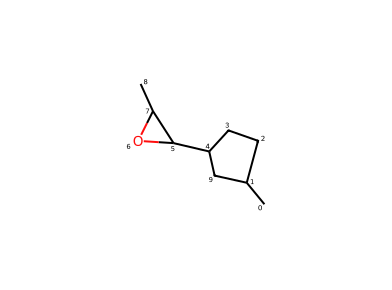 CC1CCC(C2OC2C)C1